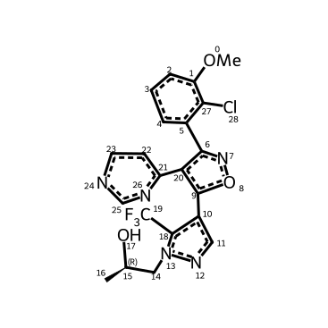 COc1cccc(-c2noc(-c3cnn(C[C@@H](C)O)c3C(F)(F)F)c2-c2ccncn2)c1Cl